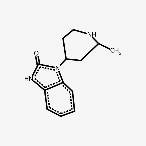 CC1CC(n2c(=O)[nH]c3ccccc32)CCN1